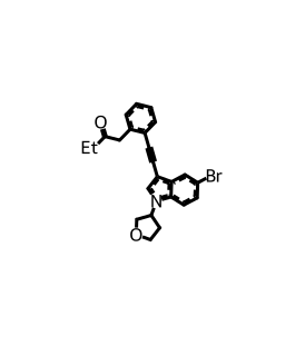 CCC(=O)Cc1ccccc1C#Cc1cn(C2CCOC2)c2ccc(Br)cc12